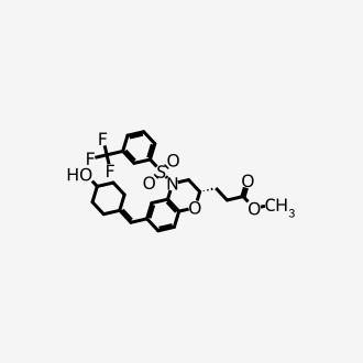 COC(=O)CC[C@H]1CN(S(=O)(=O)c2cccc(C(F)(F)F)c2)c2cc(C=C3CCC(O)CC3)ccc2O1